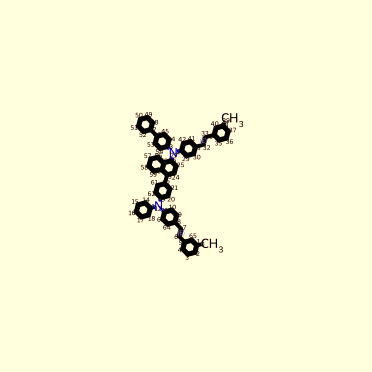 Cc1cccc(/C=C/c2ccc(N(c3ccccc3)c3ccc(-c4ccc(N(c5ccc(/C=C/c6cccc(C)c6)cc5)c5ccc(-c6ccccc6)cc5)c5ccccc45)cc3)cc2)c1